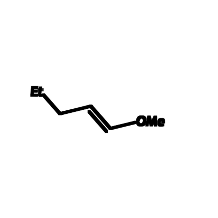 [CH2]CC/C=C/OC